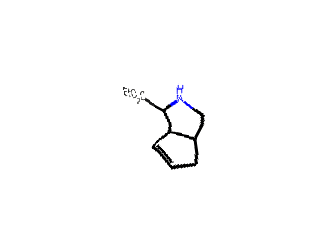 CCOC(=O)C1NCC2CC=CC21